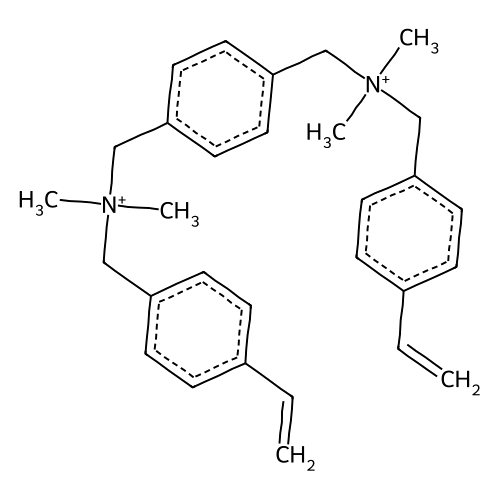 C=Cc1ccc(C[N+](C)(C)Cc2ccc(C[N+](C)(C)Cc3ccc(C=C)cc3)cc2)cc1